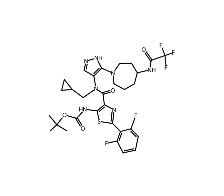 CC(C)(C)OC(=O)Nc1sc(-c2c(F)cccc2F)nc1C(=O)N(CC1CC1)c1cn[nH]c1N1CCCC(NC(=O)C(F)(F)F)CC1